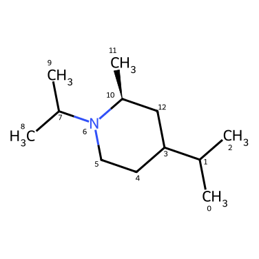 CC(C)C1CCN(C(C)C)[C@@H](C)C1